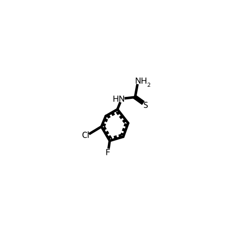 NC(=S)Nc1ccc(F)c(Cl)c1